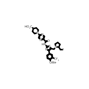 COc1ccc(-c2nc(NC(=O)c3cnc(N4CCC(C(=O)O)CC4)cn3)sc2CN2CCCC2CF)cc1C(F)(F)F